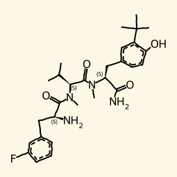 CC(C)[C@@H](C(=O)N(C)[C@@H](Cc1ccc(O)c(C(C)(C)C)c1)C(N)=O)N(C)C(=O)[C@@H](N)Cc1cccc(F)c1